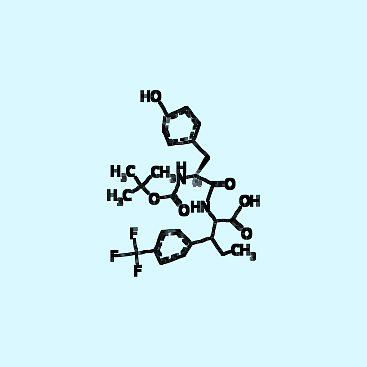 CCC(c1ccc(C(F)(F)F)cc1)C(NC(=O)[C@H](Cc1ccc(O)cc1)NC(=O)OC(C)(C)C)C(=O)O